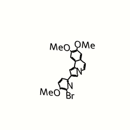 COc1cc2ccn3cc(-c4ccc(OC)c(Br)n4)cc3c2cc1OC